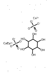 O=P([O-])([O-])[O-].O=P([O-])([O-])[O-].OC1C(O)C(O)C(O)C(O)C1O.[Ca+2].[Ca+2].[Ca+2]